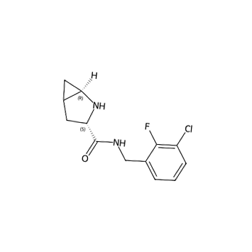 O=C(NCc1cccc(Cl)c1F)[C@@H]1CC2C[C@H]2N1